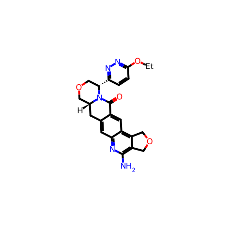 CCOc1ccc([C@H]2COC[C@H]3Cc4cc5nc(N)c6c(c5cc4C(=O)N32)COC6)nn1